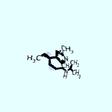 C=C(C)NC(=C)/C=C\C(=C/C)c1cnn(C)c1